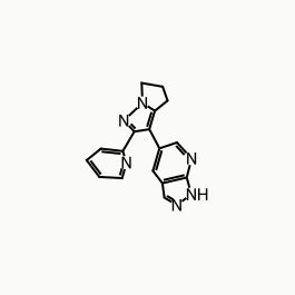 c1ccc(-c2nn3c(c2-c2cnc4[nH]ncc4c2)CCC3)nc1